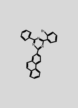 Brc1ccccc1-c1nc(-c2ccccc2)nc(-c2ccc3c(ccc4ccccc43)c2)n1